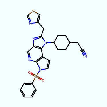 N#CCC1CCC(n2c(Cc3cscn3)nc3cnc4c(ccn4S(=O)(=O)c4ccccc4)c32)CC1